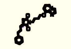 O=C1S/C(=C/CCc2ccccc2)C(=O)N1CCCCOc1cccn2ccnc12